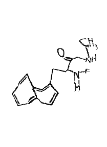 CNC(=O)C(Cc1ccc2cccccc1-2)NF